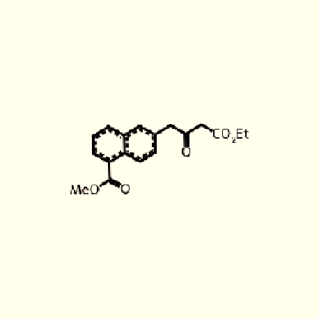 CCOC(=O)CC(=O)Cc1ccc2c(C(=O)OC)cccc2c1